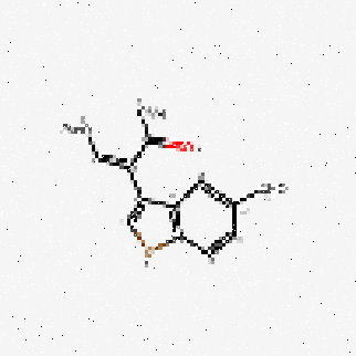 COC=C(C(=O)OC)c1csc2ccc(C=O)cc12